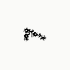 O=C(Nc1ccc(N2CC(OC(=O)C(F)(F)F)C2)nc1)c1cc2ccncc2n1Cc1cccc(C(F)(F)F)c1